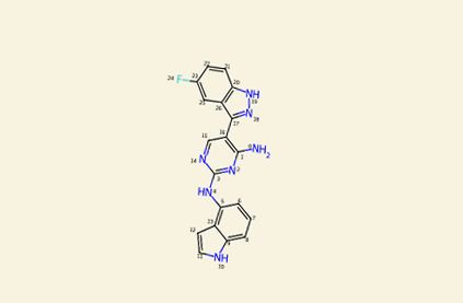 Nc1nc(Nc2cccc3[nH]ccc23)ncc1-c1n[nH]c2ccc(F)cc12